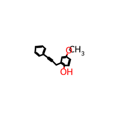 COc1ccc(O)c(CC#Cc2ccccc2)c1